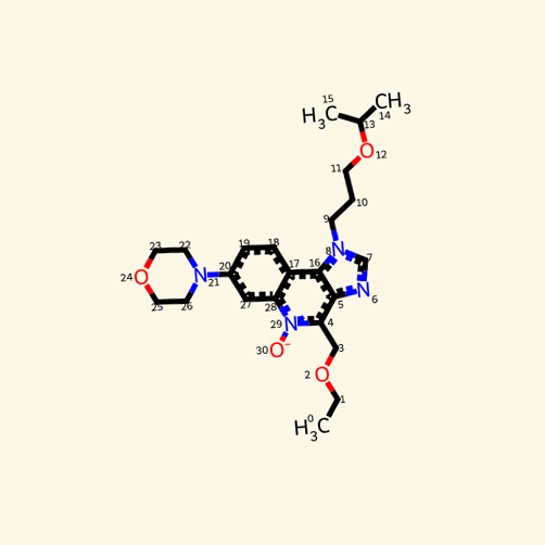 CCOCc1c2ncn(CCCOC(C)C)c2c2ccc(N3CCOCC3)cc2[n+]1[O-]